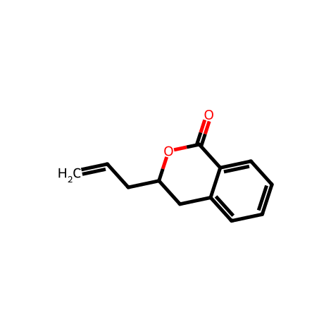 C=CCC1Cc2ccccc2C(=O)O1